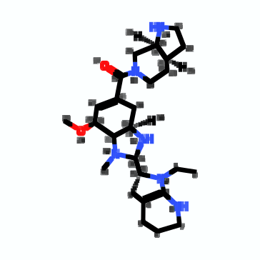 CCN1C2=C(CCCN2)C[C@@H]1[C@@H]1N[C@@H]2CC(C(=O)N3CC[C@@H]4CCN[C@@H]4C3)=C[C@H](OC)C2N1C